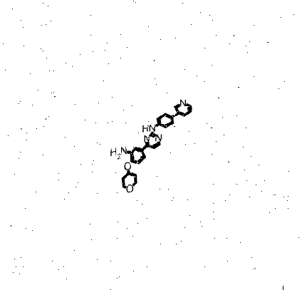 Nc1cc(-c2ccnc(Nc3ccc(-c4cccnc4)cc3)n2)ccc1OC1CCOCC1